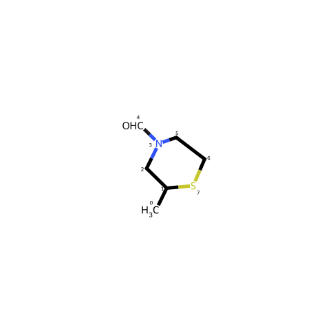 CC1CN(C=O)CCS1